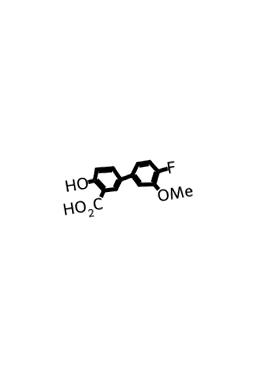 COc1cc(-c2ccc(O)c(C(=O)O)c2)ccc1F